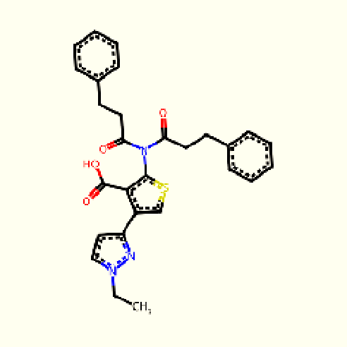 CCn1ccc(-c2csc(N(C(=O)CCc3ccccc3)C(=O)CCc3ccccc3)c2C(=O)O)n1